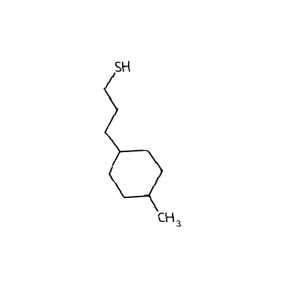 CC1CCC(CCCS)CC1